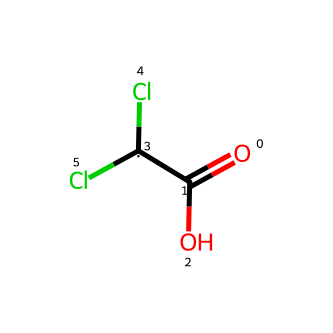 O=C(O)[C](Cl)Cl